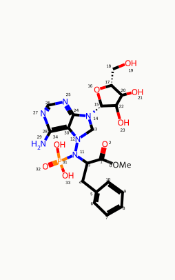 COC(=O)C(Cc1ccccc1)N(N1CN([C@@H]2O[C@H](CO)C(O)C2O)c2ncnc(N)c21)P(=O)(O)O